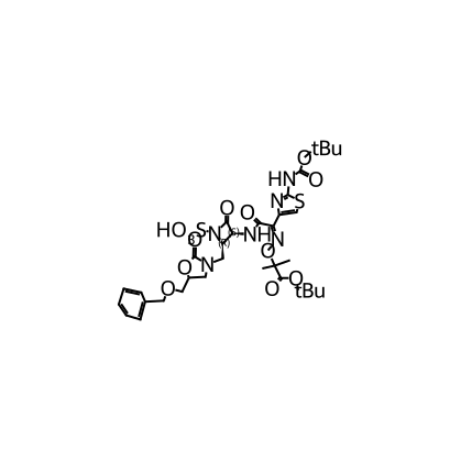 CC(C)(C)OC(=O)Nc1nc(C(=NOC(C)(C)C(=O)OC(C)(C)C)C(=O)N[C@@H]2C(=O)N(S(=O)(=O)O)[C@@H]2CN2CC(COCc3ccccc3)OC2=O)cs1